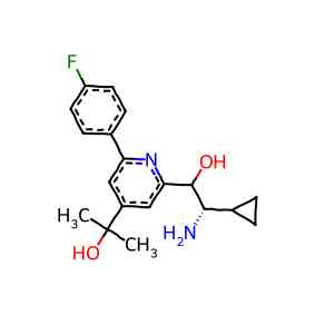 CC(C)(O)c1cc(-c2ccc(F)cc2)nc(C(O)[C@@H](N)C2CC2)c1